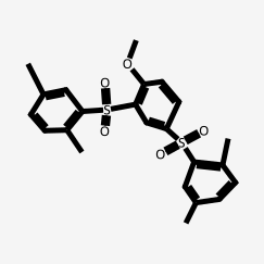 COc1ccc(S(=O)(=O)c2cc(C)ccc2C)cc1S(=O)(=O)c1cc(C)ccc1C